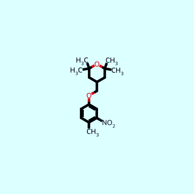 Cc1ccc(OCC2CC(C)(C)OC(C)(C)C2)cc1[N+](=O)[O-]